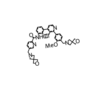 COc1cc(-c2nccc(-c3cccc(NC(=O)c4ccc(CN5CC6(COC6)C5)cn4)c3Cl)c2Cl)ccc1CN1CC2(COC2)C1